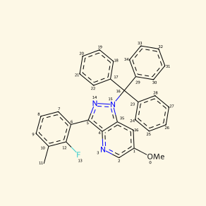 COc1cnc2c(-c3cccc(C)c3F)nn(C(c3ccccc3)(c3ccccc3)c3ccccc3)c2c1